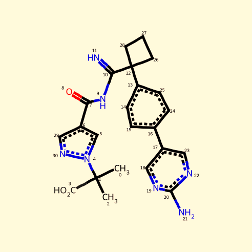 CC(C)(C(=O)O)n1cc(C(=O)NC(=N)C2(c3ccc(-c4cnc(N)nc4)cc3)CCC2)cn1